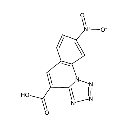 O=C(O)c1cc2ccc([N+](=O)[O-])cc2n2nnnc12